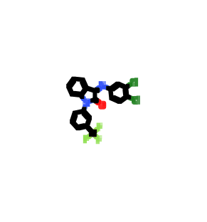 O=C1C(=Nc2ccc(Cl)c(Cl)c2)c2ccccc2N1c1cccc(C(F)(F)F)c1